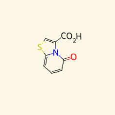 O=C(O)c1csc2cccc(=O)n12